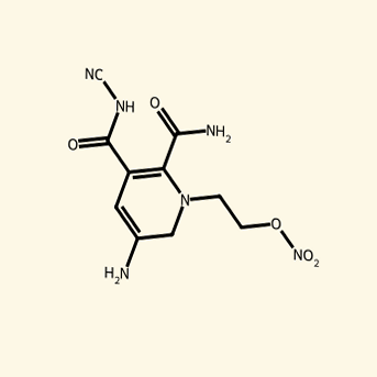 N#CNC(=O)C1=C(C(N)=O)N(CCO[N+](=O)[O-])CC(N)=C1